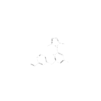 Cc1cc(Cc2cccc(C=O)c2)nc(-n2c(C)ccc2C)c1